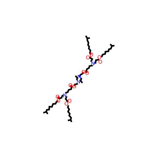 CC(C)CCCCCCCOC(=O)CCN(CCCCC(=O)OCCN1CC(C)N(CCOC(=O)CCCCN(CCC(=O)OCCCCCCCC(C)C)CCC(=O)OCCCCCCCC(C)C)CC1C)CCC(=O)OCCCCCCCC(C)C